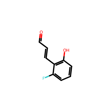 O=C/C=C/c1c(O)cccc1F